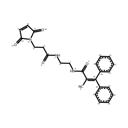 N#CC(C(=O)NCCNC(=O)CCN1C(=O)C=CC1=O)=C(c1ccccc1)c1ccccc1